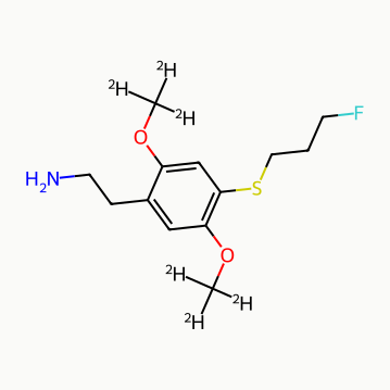 [2H]C([2H])([2H])Oc1cc(SCCCF)c(OC([2H])([2H])[2H])cc1CCN